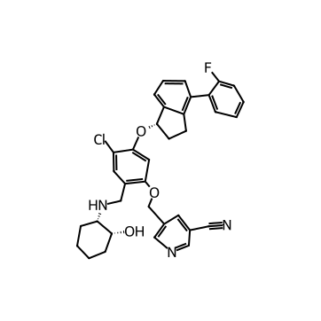 N#Cc1cncc(COc2cc(O[C@H]3CCc4c(-c5ccccc5F)cccc43)c(Cl)cc2CN[C@H]2CCCC[C@H]2O)c1